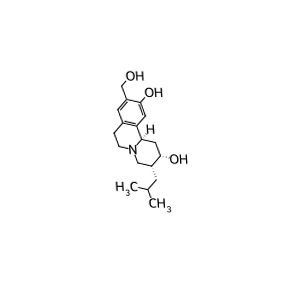 CC(C)C[C@@H]1CN2CCc3cc(CO)c(O)cc3[C@H]2C[C@@H]1O